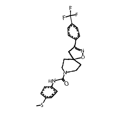 CSc1ccc(NC(=O)N2CCC3(CC2)CC(c2ccc(C(F)(F)F)cc2)=NO3)cc1